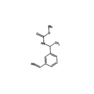 CC(NC(=O)OC(C)(C)C)c1cccc(C=N)c1